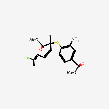 COC(=O)c1ccc(SC(C)(/C=C\C=C(/C)F)C(=O)OC)c([N+](=O)[O-])c1